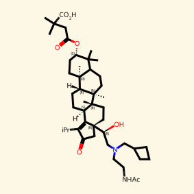 CC(=O)NCCN(CC1CCC1)C[C@H](O)[C@@]12CC[C@]3(C)[C@H](CC[C@@H]4[C@@]5(C)CC[C@H](OC(=O)CC(C)(C)C(=O)O)C(C)(C)C5CC[C@]43C)C1=C(C(C)C)C(=O)C2